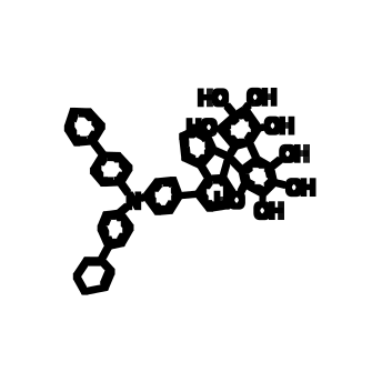 Oc1c(O)c(O)c2c(c1O)-c1c(O)c(O)c(O)c(O)c1C21c2ccccc2-c2c(-c3ccc(N(c4ccc(C5=CCCC=C5)cc4)c4ccc(-c5ccccc5)cc4)cc3)cccc21